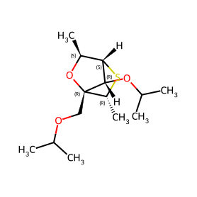 CC(C)OC[C@]12O[C@@H](C)[C@H](S[C@@H]1C)[C@@H]2OC(C)C